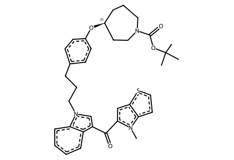 Cn1c(C(=O)c2cn(CCCc3ccc(O[C@H]4CCCN(C(=O)OC(C)(C)C)CC4)cc3)c3ccccc23)cc2sccc21